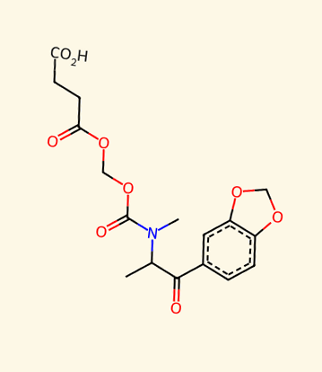 CC(C(=O)c1ccc2c(c1)OCO2)N(C)C(=O)OCOC(=O)CCC(=O)O